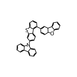 C1=CC2Oc3ccccc3C2C=C1c1cccc2sc3cc(-n4c5ccccc5c5ccccc54)ccc3c12